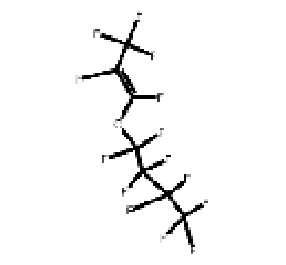 FC(OC(F)(F)C(F)(F)C(F)(F)C(F)(F)F)=C(F)C(F)(F)F